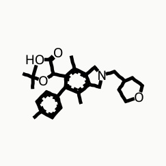 Cc1ccc(-c2c(C)c3c(c(C)c2C(OC(C)(C)C)C(=O)O)CN(CC2CCOCC2)C3)cc1